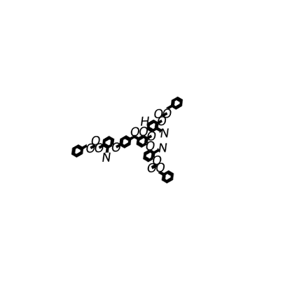 N#Cc1c(OC(=O)OCc2ccccc2)cccc1Oc1ccc(C(=O)c2ccc(Oc3cccc(OC(=O)OCc4ccccc4)c3C#N)c(Oc3cccc(OC(=O)OCc4ccccc4)c3C#N)c2O)cc1